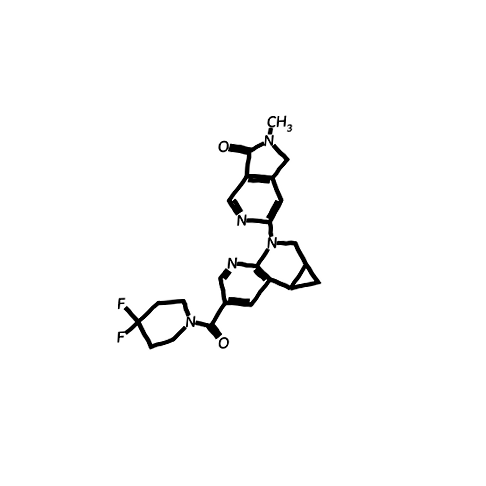 CN1Cc2cc(N3CC4CC4c4cc(C(=O)N5CCC(F)(F)CC5)cnc43)ncc2C1=O